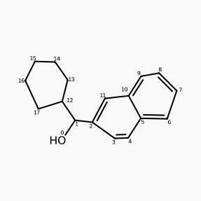 OC(c1ccc2ccccc2c1)C1CCCCC1